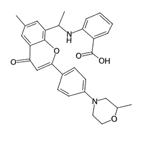 Cc1cc(C(C)Nc2ccccc2C(=O)O)c2oc(-c3ccc(N4CCOC(C)C4)cc3)cc(=O)c2c1